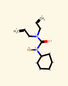 C=CCN(CC=C)C(=O)N(S)C1CCCCC1